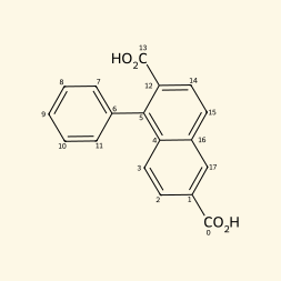 O=C(O)c1ccc2c(-c3ccccc3)c(C(=O)O)ccc2c1